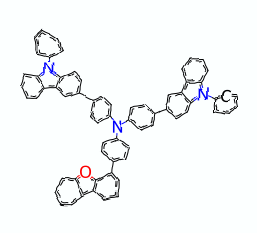 c1ccc(-n2c3ccccc3c3cc(-c4ccc(N(c5ccc(-c6ccc7c(c6)c6ccccc6n7-c6ccccc6)cc5)c5ccc(-c6cccc7c6oc6ccccc67)cc5)cc4)ccc32)cc1